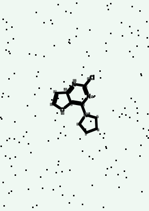 Clc1nc(N2CCCC2)c2occc2n1